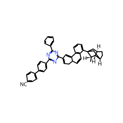 C[C@H]1[C@@H]2[C@@H]3CC[C@H]2CC1(c1cccc2c1C=CC1CC=C(c4nc(-c5ccccc5)nc(-c5ccc(-c6ccc(C#N)cc6)cc5)n4)C=C21)C3